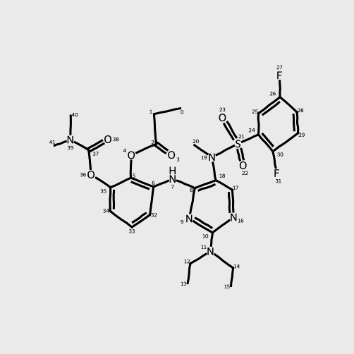 CCC(=O)Oc1c(Nc2nc(N(CC)CC)ncc2N(C)S(=O)(=O)c2cc(F)ccc2F)cccc1OC(=O)N(C)C